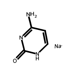 Nc1cc[nH]c(=O)n1.[Na]